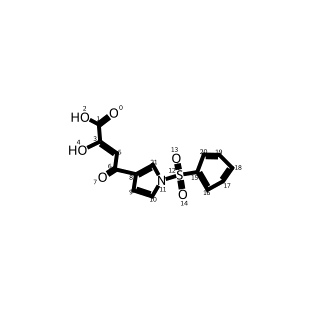 O=C(O)C(O)=CC(=O)c1ccn(S(=O)(=O)c2ccccc2)c1